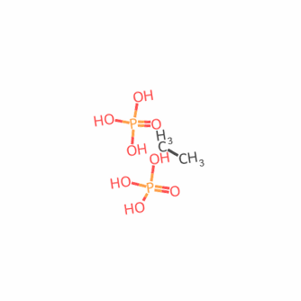 CC.O=P(O)(O)O.O=P(O)(O)O